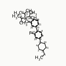 CCC1CCC(c2ccc(-c3cccc(O[Si](C(C)C)(C(C)C)C(C)C)c3)c(F)c2)CC1